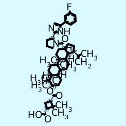 C=C(C)[C@@H]1CC[C@]2(C(=O)N3CCC[C@H]3c3ncc(-c4cccc(F)c4)[nH]3)CC[C@]3(C)[C@H](CC[C@@H]4[C@@]5(C)CC[C@H](OC(=O)[C@H]6C[C@@H](C(=O)O)C6(C)C)C(C)(C)[C@@H]5CC[C@]43C)[C@@H]12